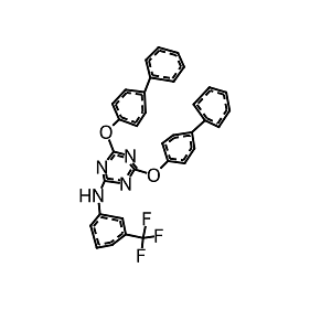 FC(F)(F)c1cccc(Nc2nc(Oc3ccc(-c4ccccc4)cc3)nc(Oc3ccc(-c4ccccc4)cc3)n2)c1